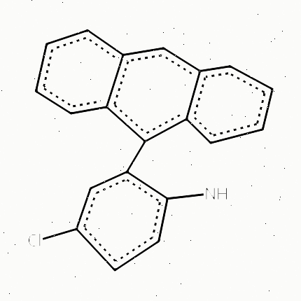 Nc1ccc(Cl)cc1-c1c2ccccc2cc2ccccc12